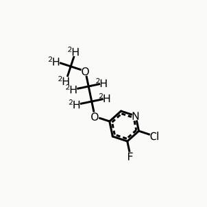 [2H]C([2H])([2H])OC([2H])([2H])C([2H])([2H])Oc1cnc(Cl)c(F)c1